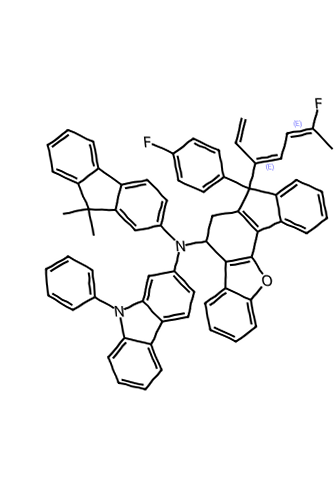 C=C/C(=C\C=C(/C)F)C1(c2ccc(F)cc2)C2=C(c3ccccc31)c1oc3ccccc3c1C(N(c1ccc3c(c1)C(C)(C)c1ccccc1-3)c1ccc3c4ccccc4n(-c4ccccc4)c3c1)C2